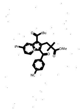 COC(=O)C(C)(C)Cc1c(C(=O)C(C)(C)C)c2cc(C(C)C)ccn2c1C(=O)c1ccc(C#N)cc1